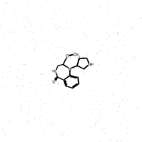 COC1CNC(=O)c2ccccc2N1C1CCNC1